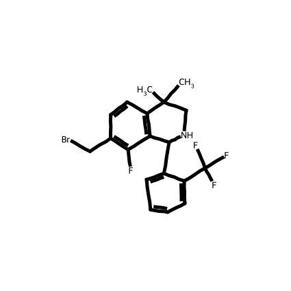 CC1(C)CNC(c2ccccc2C(F)(F)F)c2c1ccc(CBr)c2F